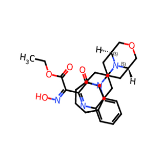 CCOC(=O)C(=NO)c1nc2ccccc2n(C2C[C@H]3COC[C@H](C2)N3C2CC3CCCCC(C3)C2)c1=O